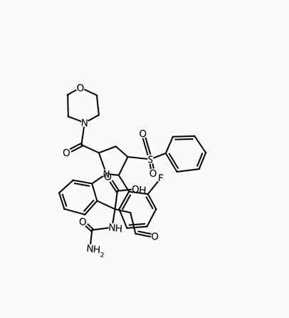 NC(=O)NC(CC=O)(C(=O)O)c1ccccc1N1C(C(=O)N2CCOCC2)CC(S(=O)(=O)c2ccccc2)C1c1ccccc1F